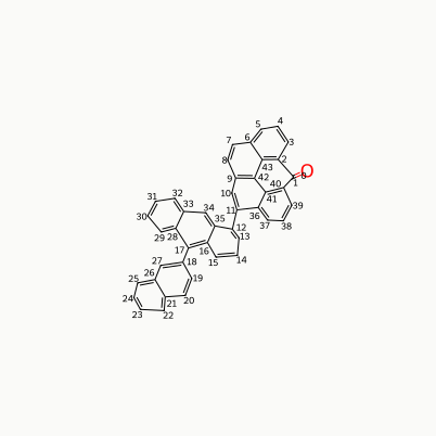 O=C1c2cccc3ccc4cc(-c5cccc6c(-c7ccc8ccccc8c7)c7ccccc7cc56)c5cccc1c5c4c23